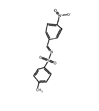 Cc1ccc(S(=O)(=O)/N=C/c2ccc([N+](=O)[O-])cc2)cc1